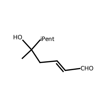 CCCC(C)C(C)(O)C/C=C/C=O